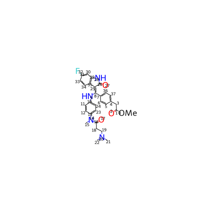 COC(=O)Cc1ccc(C(Nc2ccc(N(C)C(=O)CCN(C)C)cc2)=C2C(=O)Nc3cc(F)ccc32)cc1